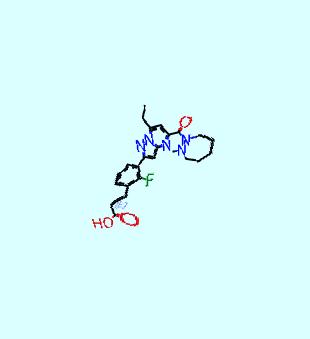 CCc1cc(C(=O)N2CCCCCN2C)nc2cc(-c3cccc(/C=C/C(=O)O)c3F)nn12